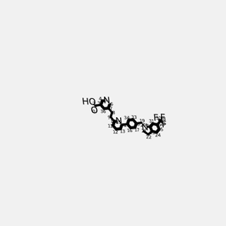 O=C(O)c1cncc(CCc2cccc(-c3ccc(CN4CCc5ccc(C(F)(F)F)cc54)cc3)n2)c1